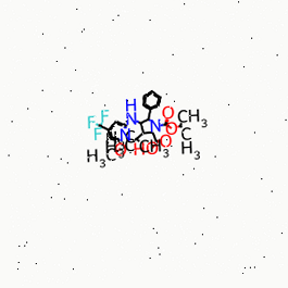 COc1cc(C(F)(F)F)cc(NC2C(c3ccccc3)N(C(=O)OC(C)C)C(C(=O)O)C2C(C)(C)C)n1